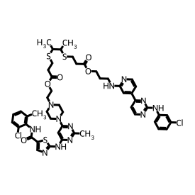 Cc1nc(Nc2ncc(C(=O)Nc3c(C)cccc3Cl)s2)cc(N2CCN(CCOC(=O)CCSC(C)C(C)SCCC(=O)OCCCNc3cc(-c4ccnc(Nc5cccc(Cl)c5)n4)ccn3)CC2)n1